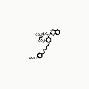 COc1ccc(COCCCN2CCC(N(C)C3=Nc4ccccc4CS3)CC2)cc1.O=C(O)C=CC(=O)O